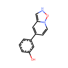 Oc1cccc(C2=CC3=CNON3C=C2)c1